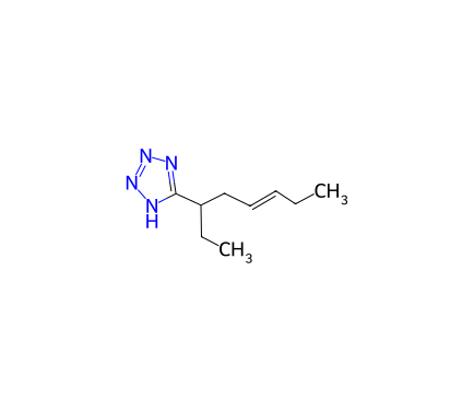 CC/C=C/CC(CC)c1nnn[nH]1